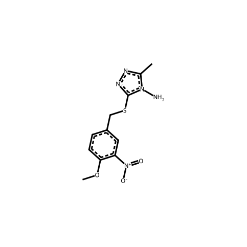 COc1ccc(CSc2nnc(C)n2N)cc1[N+](=O)[O-]